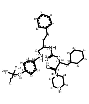 O=C(NC(CCc1ccccc1)CNc1ccc(OC(F)(F)F)cc1)OC(CC1CCCCC1)C(=O)N1CCOCC1